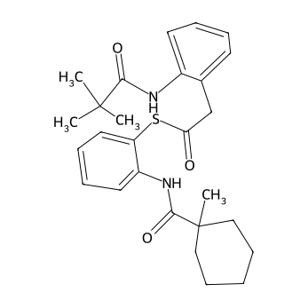 CC(C)(C)C(=O)Nc1ccccc1CC(=O)Sc1ccccc1NC(=O)C1(C)CCCCC1